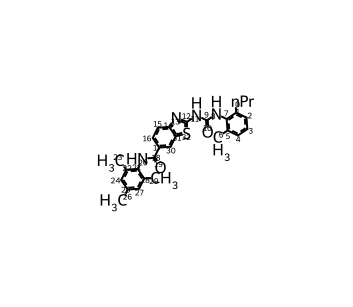 CCCc1cccc(C)c1NC(=O)Nc1nc2ccc(C(=O)Nc3c(C)cc(C)cc3C)cc2s1